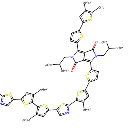 CCCCCCCCC(CCCCCC)CN1C(=O)C2=C(c3ccc(-c4cc(CCCCCC)c(-c5ncc(-c6cc(CCCCCC)c(-c7sc(-c8cnc(C)s8)cc7CCCCCC)s6)s5)s4)s3)N(CC(CCCCCC)CCCCCCCC)C(=O)C2=C1c1ccc(-c2cc(CCCCCC)c(C)s2)s1